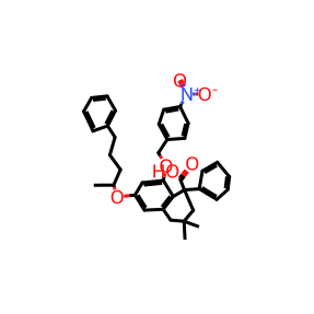 CC(CCCc1ccccc1)Oc1cc2c(c(OCc3ccc([N+](=O)[O-])cc3)c1)C(C(=O)O)(c1ccccc1)CC(C)(C)C2